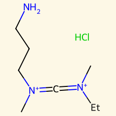 CC[N+](C)=C=[N+](C)CCCN.Cl